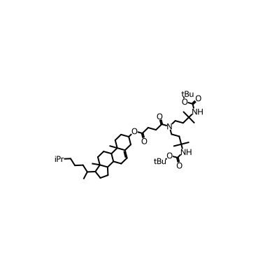 CC(C)CCCC(C)C1CCC2C3CC=C4CC(OC(=O)CCC(=O)N(CCC(C)(C)NC(=O)OC(C)(C)C)CCC(C)(C)NC(=O)OC(C)(C)C)CCC4(C)C3CCC12C